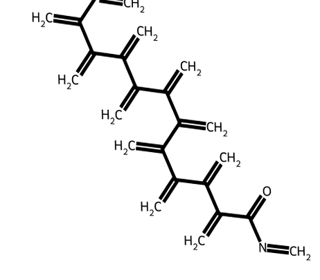 C=CC(=C)C(=C)C(=C)C(=C)C(=C)C(=C)C(=C)C(=C)C(=C)C(=C)C(=O)N=C